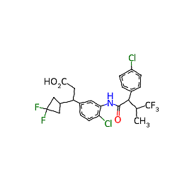 CC(C(C(=O)Nc1cc(C(CC(=O)O)C2CC(F)(F)C2)ccc1Cl)c1ccc(Cl)cc1)C(F)(F)F